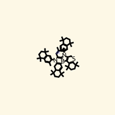 C=C/C(C)=C\C1=C2B(C3=C(CC4C(=C3)C(C)(C)CCC4(C)C)N1c1cc3c(cc1C)C(C)(C)CCC3(C)C)C1=C(CSC3=C1C(C)(C)CCC3(C)C)N2c1ccc2c(c1)C(C)(C)CCC2(C)C